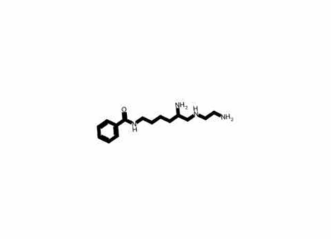 NCCNCC(N)CCCCNC(=O)c1ccccc1